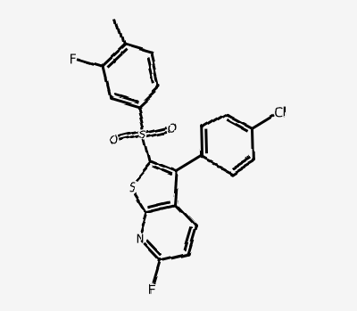 Cc1ccc(S(=O)(=O)c2sc3nc(F)ccc3c2-c2ccc(Cl)cc2)cc1F